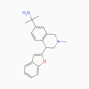 CN1Cc2cc(C(C)(C)N)ccc2C(c2cc3ccccc3o2)C1